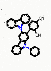 N#Cc1ccc(-c2cc3c(cc2-n2c4ccccc4c4ccccc42)c2ccccc2n3-c2ccccc2)c(C#N)c1